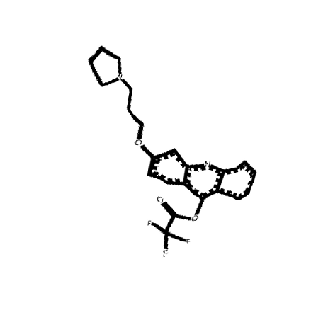 O=C(Oc1c2ccccc2nc2cc(OCCCN3CCCC3)ccc12)C(F)(F)F